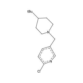 CC(C)(C)C1CCN(Cc2ccc(Cl)nc2)CC1